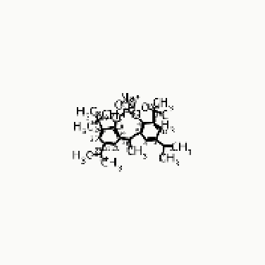 CC(C)c1cc2c(c(C(C)(C)C)c1)OP(=O)([O-])Oc1c(cc(C(C)C)cc1C(C)(C)C)C2C.[Na+]